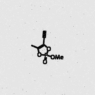 C#CC1=C(C)OP(=O)(OC)O1